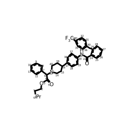 CC(C)CCOC(=O)C(c1ccccc1)N1CCC(c2ccc(NC(=O)c3ccccc3-c3ccc(C(F)(F)F)cc3)cc2)CC1